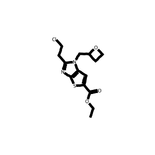 CCOC(=O)c1cc2c(nc(CCCl)n2CC2CCO2)s1